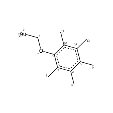 Cc1c(C)c(C)c(OCC(C)(C)C)c(C)c1C